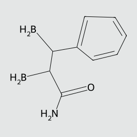 BC(C(N)=O)C(B)c1ccccc1